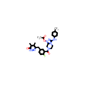 Cc1c(Cc2ccc(F)c(C(=O)N3CCn4c(Nc5ccc(C(F)(F)F)cc5)n[n+](OC(=O)C(F)(F)F)c4C3)c2)n[nH]c(=O)c1C